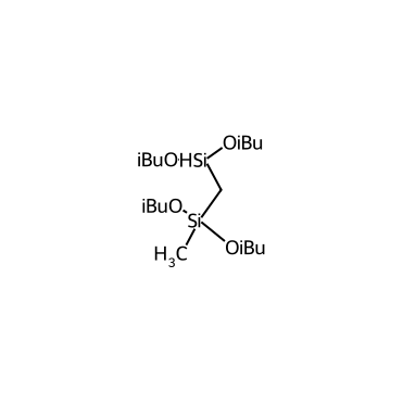 CC(C)CO[SiH](C[Si](C)(OCC(C)C)OCC(C)C)OCC(C)C